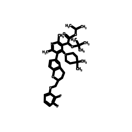 Cc1nc(C)c(C(OC(C)(C)C)C(=O)OC(C)C)c(N2CCC(C)(C)CC2)c1-c1ccc2c(c1)CCC(COc1cccc(F)c1F)O2